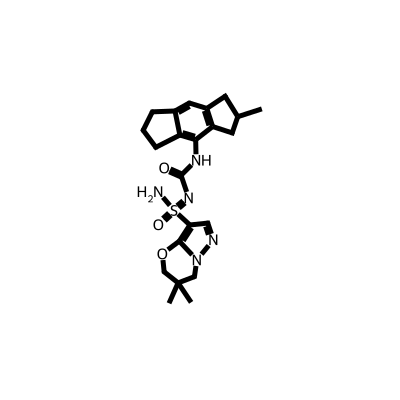 CC1Cc2cc3c(c(NC(=O)N=S(N)(=O)c4cnn5c4OCC(C)(C)C5)c2C1)CCC3